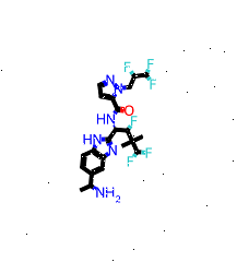 CC(N)c1ccc2[nH]c([C@H](NC(=O)c3ccnn3CC(F)C(F)F)C(F)C(C)(C)C(F)F)nc2c1